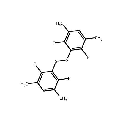 Cc1cc(C)c(F)c(SSc2c(F)c(C)cc(C)c2F)c1F